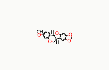 COc1ccc2c(c1)OC[C@H]1c3cc4c(cc3O[C@@H]21)OCO4